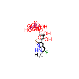 Cc1[nH]c2nc(=S)c([C@@H]3O[C@H](COP(=O)(O)OP(=O)(O)OP(=O)(O)O)[C@H](O)C3O)cc-2cc1F